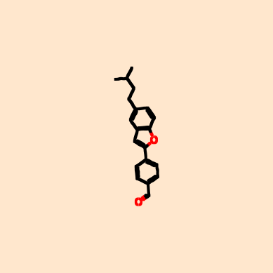 CC(C)CCc1ccc2oc(-c3ccc(C=O)cc3)cc2c1